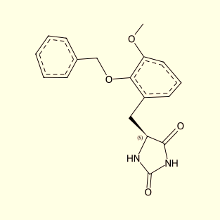 COc1cccc(C[C@@H]2NC(=O)NC2=O)c1OCc1ccccc1